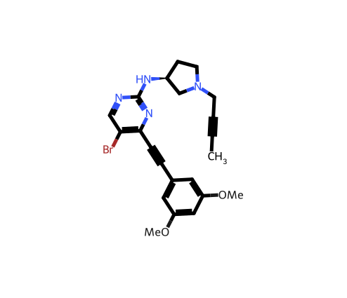 CC#CCN1CC[C@H](Nc2ncc(Br)c(C#Cc3cc(OC)cc(OC)c3)n2)C1